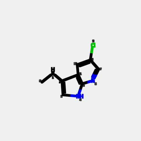 CBc1c[nH]c2ncc(Cl)cc12